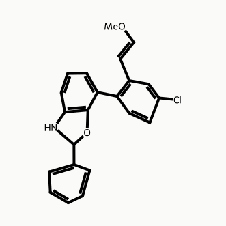 CO/C=C/c1cc(Cl)ccc1-c1cccc2c1OC(c1ccccc1)N2